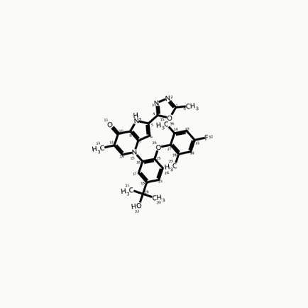 Cc1nnc(-c2cc3c([nH]2)c(=O)c(C)cn3-c2cc(C(C)(C)O)ccc2Oc2c(C)cc(F)cc2C)o1